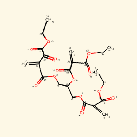 C=C(C(=O)OCC)C(=O)OCC(COC(=O)C(=C)C(=O)C(=O)OCC)OC(=O)C(=C)C(=O)OCC